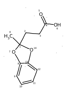 CC1(CCC(=O)O)Oc2ccccc2O1